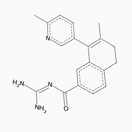 CC1=C(c2ccc(C)nc2)c2cc(C(=O)N=C(N)N)ccc2CC1